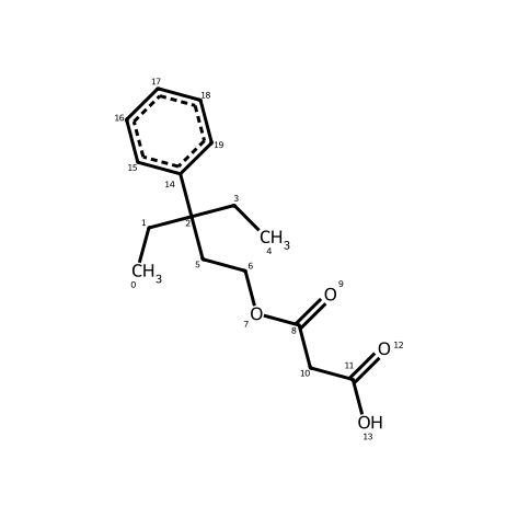 CCC(CC)(CCOC(=O)CC(=O)O)c1ccccc1